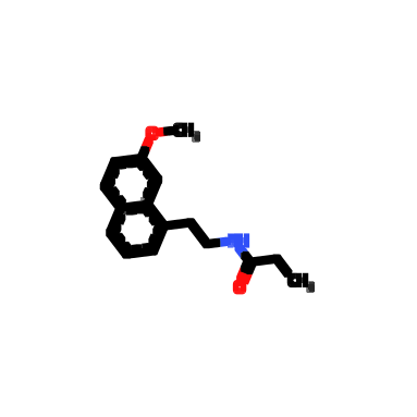 CCC(=O)NCCc1cccc2ccc(OC)cc12